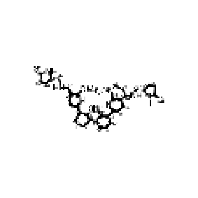 COc1nc(-c2cccc(-c3cccc(-c4ccc5c(n4)N(C)CC[C@H]5NC[C@@H]4CCC(=O)N4)c3Cl)c2Cl)cnc1CNC[C@@H]1CCC(=O)N1